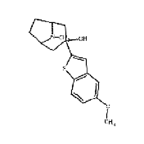 COc1ccc2sc(C3(O)CC4CCC(C3)N4C)cc2c1